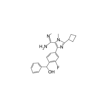 C/N=C(/N)c1c(-c2ccc(C(O)c3ccccc3)c(F)c2)nc(C2CCC2)n1C